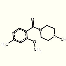 COc1cc(C)ccc1C(=O)N1CCN(C)CC1